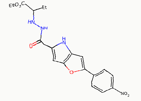 CCOC(=O)C(CC)NNC(=O)c1cc2oc(-c3ccc([N+](=O)[O-])cc3)cc2[nH]1